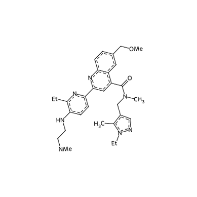 CCc1nc(-c2cc(C(=O)N(C)Cc3cnn(CC)c3C)c3cc(COC)ccc3n2)ccc1NCCNC